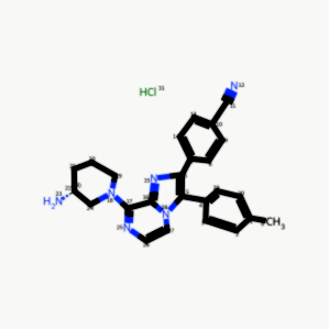 Cc1ccc(-c2c(-c3ccc(C#N)cc3)nc3c(N4CCC[C@@H](N)C4)nccn23)cc1.Cl